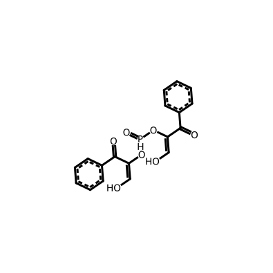 O=C(C(=CO)O[PH](=O)OC(=CO)C(=O)c1ccccc1)c1ccccc1